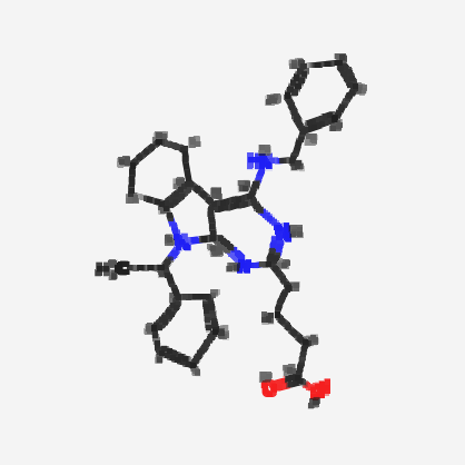 CC(c1ccccc1)n1c2c(c3c(NCc4ccccc4)nc(CCCC(=O)O)nc31)CCCC2